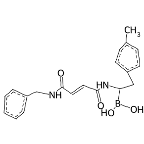 Cc1ccc(CC(NC(=O)/C=C/C(=O)NCc2ccccc2)B(O)O)cc1